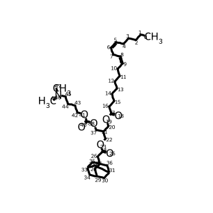 CCCCC/C=C\C/C=C\CCCCCCCC(=O)OCC(COC(=O)CC12CC3CC(CC(C3)C1)C2)COC(=O)OCCCCN(C)C